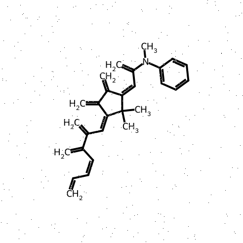 C=C/C=C\C(=C)C(=C)/C=C1\C(=C)C(=C)/C(=C\C(=C)N(C)c2ccccc2)C1(C)C